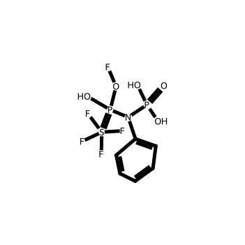 O=P(O)(O)N(c1ccccc1)P(O)(OF)=S(F)(F)(F)F